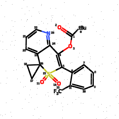 CC(C)(C)C(=O)OC1=C(c2ccccc2C(F)(F)F)S(=O)(=O)C2(CC2)c2cccnc21